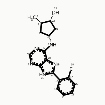 C[C@H]1C[C@@H](Nc2ncnc3[nH]c(-c4ccccc4Cl)nc23)C[C@H]1O